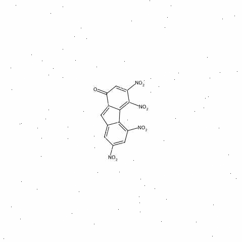 O=C1C=C([N+](=O)[O-])C([N+](=O)[O-])=C2C1=Cc1cc([N+](=O)[O-])cc([N+](=O)[O-])c12